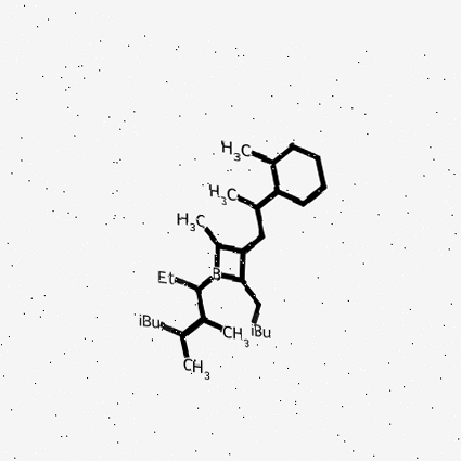 CCC(C)CC1B(C(CC)C(C)C(C)C(C)CC)C(C)C1CC(C)C1CCCCC1C